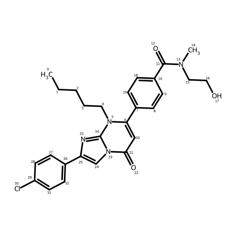 CCCCCn1c(-c2ccc(C(=O)N(C)CCO)cc2)cc(=O)n2cc(-c3ccc(Cl)cc3)nc12